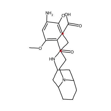 COc1cc(N)c(Cl)cc1C(=O)NC1CC2CCCC(C1)N2CCCCCC(=O)O